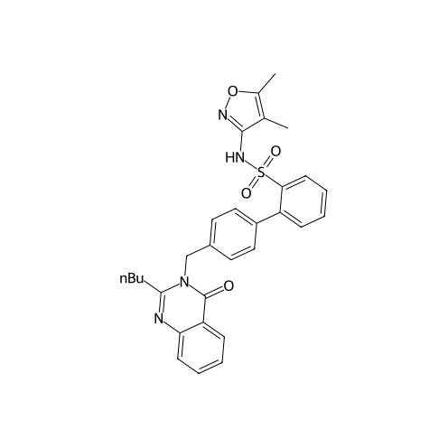 CCCCc1nc2ccccc2c(=O)n1Cc1ccc(-c2ccccc2S(=O)(=O)Nc2noc(C)c2C)cc1